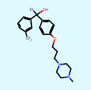 CCC(O)(c1ccc(OCCCN2CCN(C)CC2)cc1)c1cccc(C(F)(F)F)c1